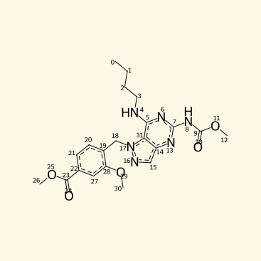 CCCCNc1nc(NC(=O)OC)nc2cnn(Cc3ccc(C(=O)OC)cc3OC)c12